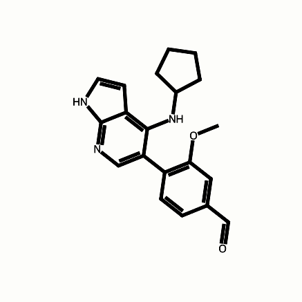 COc1cc(C=O)ccc1-c1cnc2[nH]ccc2c1NC1CCCC1